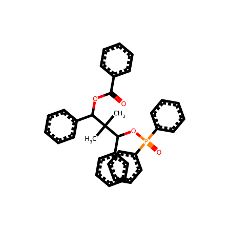 CC(C)(C(OC(=O)c1ccccc1)c1ccccc1)C(OP(=O)(c1ccccc1)c1ccccc1)c1ccccc1